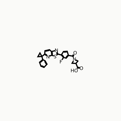 O=C(O)C1CN(C(=O)c2ccc(-c3nc4ccc(C5(c6ccccc6)CC5)nc4s3)c(F)c2)C1